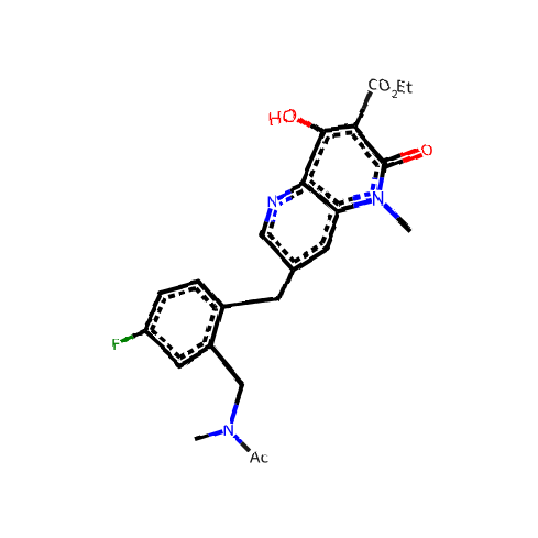 CCOC(=O)c1c(O)c2ncc(Cc3ccc(F)cc3CN(C)C(C)=O)cc2n(C)c1=O